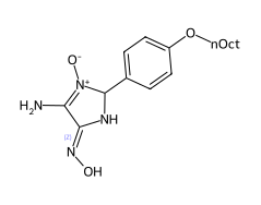 CCCCCCCCOc1ccc(C2N/C(=N\O)C(N)=[N+]2[O-])cc1